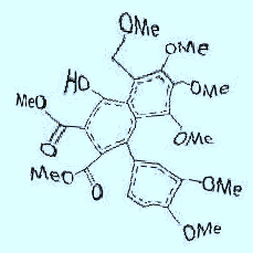 COCc1c(OC)c(OC)c(OC)c2c(-c3ccc(OC)c(OC)c3)c(C(=O)OC)c(C(=O)OC)c(O)c12